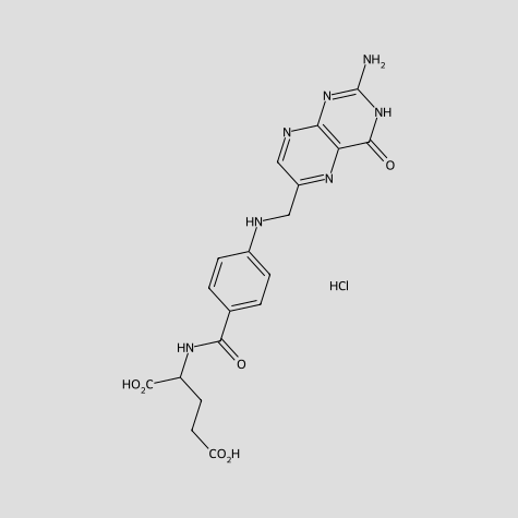 Cl.Nc1nc2ncc(CNc3ccc(C(=O)NC(CCC(=O)O)C(=O)O)cc3)nc2c(=O)[nH]1